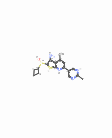 Cc1ncc(-c2cc(C(C)(C)C)c3c(N)c([S@+]([O-])C4CCC4)sc3n2)cn1